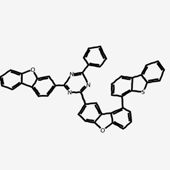 c1ccc(-c2nc(-c3ccc4c(c3)oc3ccccc34)nc(-c3ccc4oc5cccc(-c6cccc7c6sc6ccccc67)c5c4c3)n2)cc1